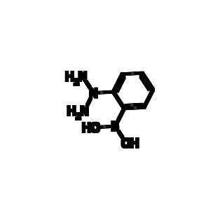 NN(N)c1ccccc1B(O)O